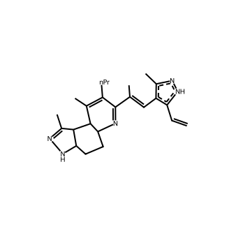 C=Cc1[nH]nc(C)c1/C=C(\C)C1=NC2CCC3NN=C(C)C3C2C(C)=C1CCC